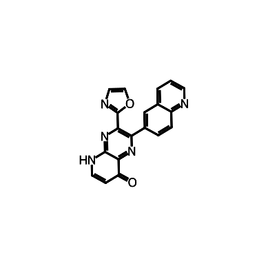 O=c1cc[nH]c2nc(-c3ncco3)c(-c3ccc4ncccc4c3)nc12